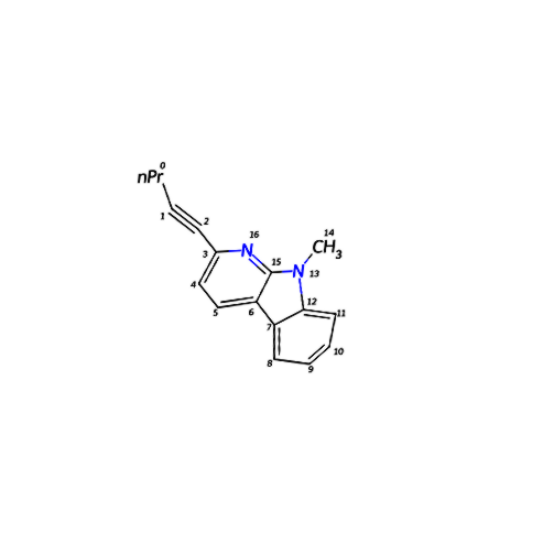 CCCC#Cc1ccc2c3ccccc3n(C)c2n1